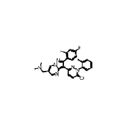 Cc1ccccc1-n1nc(-c2c(-c3ccc(F)cc3F)nn3cc(CN(C)C)cnc23)ccc1=O